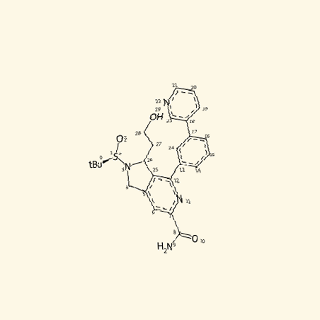 CC(C)(C)[S@@+]([O-])N1Cc2cc(C(N)=O)nc(-c3cccc(-c4cccnc4)c3)c2C1CCO